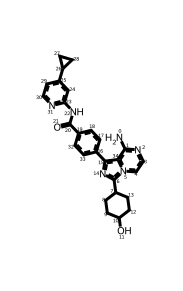 Nc1nccn2c(C3CCC(O)CC3)nc(-c3ccc(C(=O)Nc4cc(C5CC5)ccn4)cc3)c12